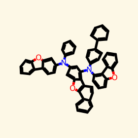 c1ccc(-c2ccc(N(c3cccc4oc5ccccc5c34)c3cc(N(c4ccccc4)c4ccc5c(c4)oc4ccccc45)cc4oc5c6ccccc6ccc5c34)cc2)cc1